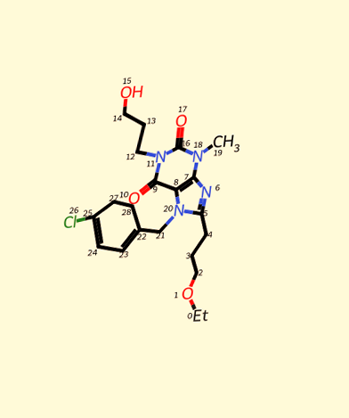 CCOCCCc1nc2c(c(=O)n(CCCO)c(=O)n2C)n1CC1=CC=C(Cl)CC1